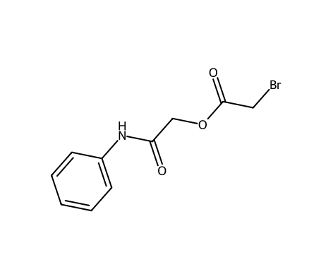 O=C(COC(=O)CBr)Nc1ccccc1